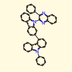 c1ccc(-c2nc3ccccc3nc2-n2c3ccccc3c3ccc(-c4cccc5c4c4ccccc4n5-c4ccccc4)cc32)cc1